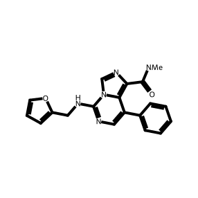 CNC(=O)c1ncn2c(NCc3ccco3)ncc(-c3ccccc3)c12